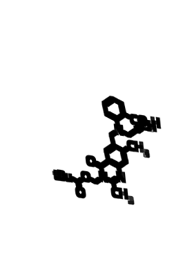 C#CCN(Cc1cc2c(=O)n(COC(=O)C(C)(C)C)c(C)nc2cc1C)c1ccccc1C(=O)O